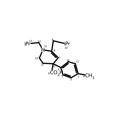 Cc1ccc(C2(C(=O)O)C=C(CC(C)C)N(CC(C)C)CC2)cc1